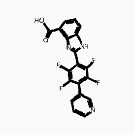 O=C(O)c1cccc2[nH]c(-c3c(F)c(F)c(-c4cccnc4)c(F)c3F)nc12